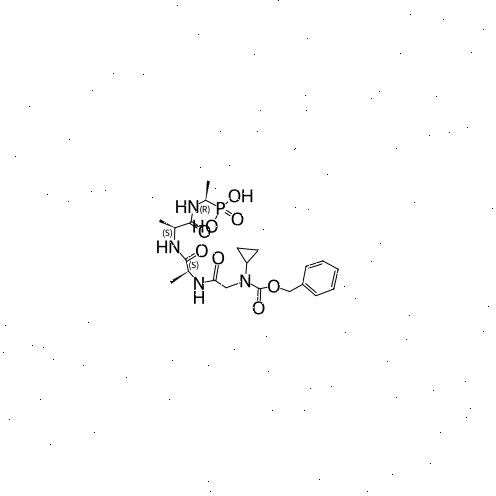 C[C@H](NC(=O)CN(C(=O)OCc1ccccc1)C1CC1)C(=O)N[C@@H](C)C(=O)N[C@@H](C)P(=O)(O)O